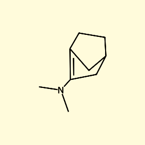 CN(C)C1=C2CCC(C2)C1